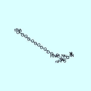 CCCN(OCCCC(=O)NCCOCCOCCOCCOCCOCCOCCOCCOCCOCCOCCC(=O)OC(C)(C)C)C(=O)C1=Cc2ccc(-c3cncnc3)cc2N=C(N)C1